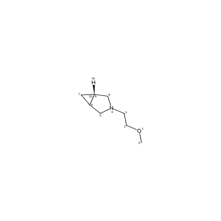 COCCN1CC2C[C@@H]2C1